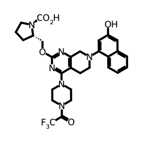 O=C(O)N1CCC[C@H]1COc1nc2c(c(N3CCN(C(=O)C(F)(F)F)CC3)n1)CCN(c1cc(O)cc3ccccc13)C2